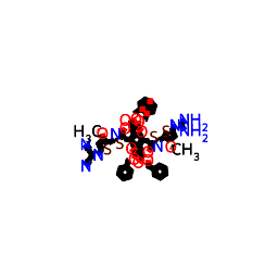 COc1cc(N=C(N)N)sc1-c1nc2c(s1)-c1cc3c(cc1C(C(=O)OCc1ccccc1)(C(=O)OCc1ccccc1)O2)-c1sc(-c2sc(N=C(C#N)C#N)cc2OC)nc1OC3(C(=O)OCc1ccccc1)C(=O)OCc1ccccc1